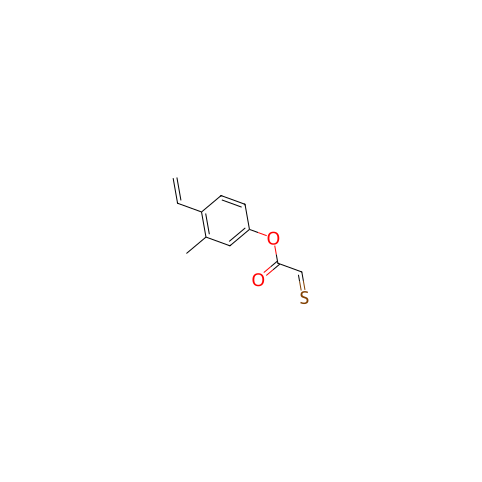 C=Cc1ccc(OC(=O)C=S)cc1C